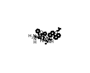 CC[C@@H](NC(=O)COc1ccc2ccccc2c1-c1c(OCCC(C)C)ccc2ccccc12)C(=O)N[C@H](CCCNC(=N)N)C(=O)NC1(C(=O)OCc2ccccc2)CCCC1